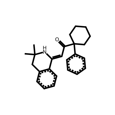 CC1(C)Cc2ccccc2C(=CC(=O)C2(c3ccccc3)CCCCC2)N1